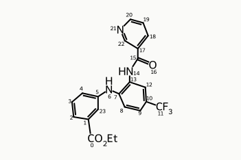 CCOC(=O)c1cccc(Nc2ccc(C(F)(F)F)cc2NC(=O)c2cccnc2)c1